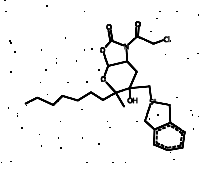 CCCCCCCC1(C)OC2OC(=O)N(C(=O)CCl)C2CC1(O)C[S+]1Cc2ccccc2C1